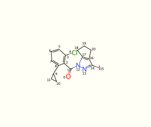 O=C(c1c(Cl)cccc1C1CC1)n1nc(I)c2c1CCC2